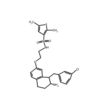 Cc1cc(S(=O)(=O)NCCOc2ccc3c(c2)C(Cc2cccc(Cl)c2)C(N)CC3)c(C)s1